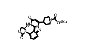 C[C@@H]1COC(=O)N1c1cccc2nn3c(C4CCN(C(=O)OC(C)(C)C)CC4)cc(=O)[nH]c3c12